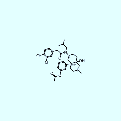 CC(=O)Oc1cccc([C@@]23CCN(C)C[C@@]2(O)CC[C@H](N(CC(C)C)C(=O)Cc2ccc(Cl)c(Cl)c2)C3)c1